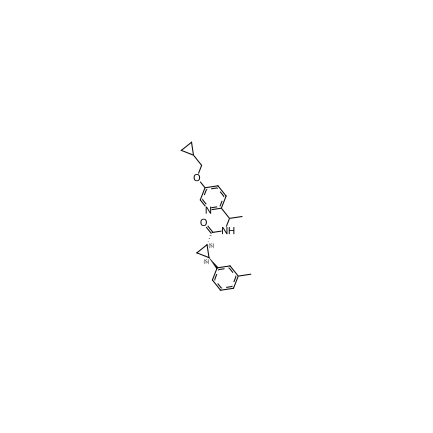 Cc1cccc([C@H]2C[C@@H]2C(=O)NC(C)c2ccc(OCC3CC3)cn2)c1